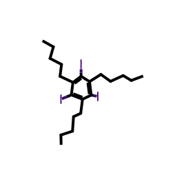 CCCCCc1c(I)c(CCCCC)c(I)c(CCCCC)c1I